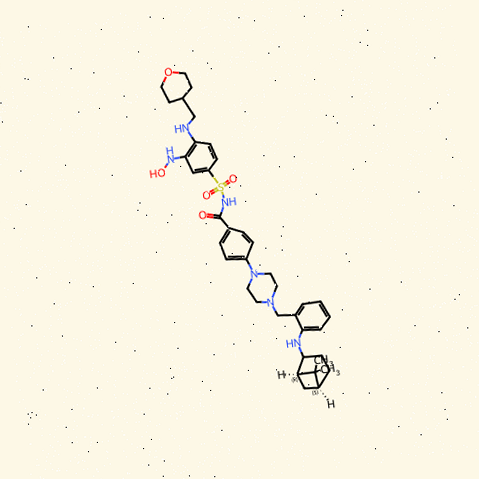 CC1(C)[C@H]2CCC(Nc3ccccc3CN3CCN(c4ccc(C(=O)NS(=O)(=O)c5ccc(NCC6CCOCC6)c(NO)c5)cc4)CC3)[C@@H]1C2